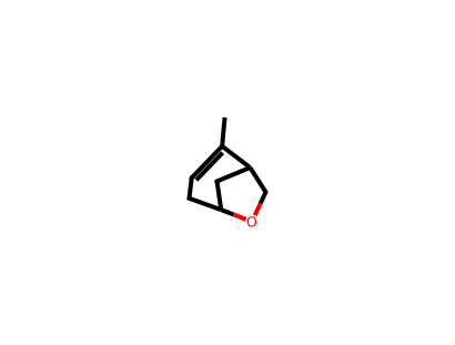 CC1=CCC2CC1CO2